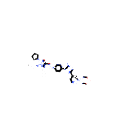 Cc1c(C(=O)Nc2ccc(-c3nc(-c4ccnc(N5CCOCC5)c4)cnc3N)cc2)c(=O)n(C2CCCC2)n1C